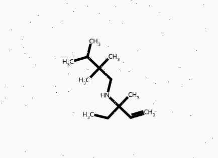 C=CC(C)(CC)NCC(C)(C)C(C)C